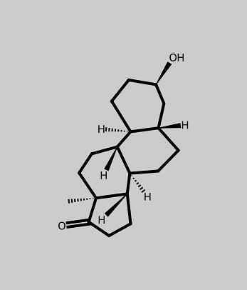 C[C@]12CC[C@H]3[C@@H](CC[C@H]4C[C@H](O)CC[C@@H]43)[C@@H]1CCC2=O